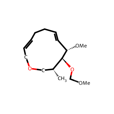 COCO[C@H]1[C@H](C)COC/C=C/CC/C=C/[C@@H]1OC